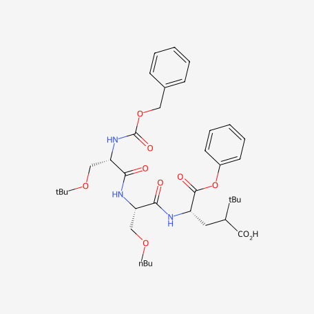 CCCCOC[C@H](NC(=O)[C@H](COC(C)(C)C)NC(=O)OCc1ccccc1)C(=O)N[C@@H](CC(C(=O)O)C(C)(C)C)C(=O)Oc1ccccc1